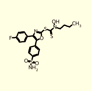 CCCCN(O)C(=S)Sc1nc(-c2ccc(F)cc2)c(-c2ccc(S(N)(=O)=O)cc2)o1